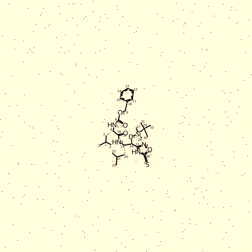 CC(C)C[C@H](NC(=O)OCc1ccccc1)C(=O)N[C@@H](CC(C)C)C(O[Si](C)(C)C(C)(C)C)c1noc(=S)[nH]1